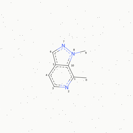 Cc1nccc2cnn(C)c12